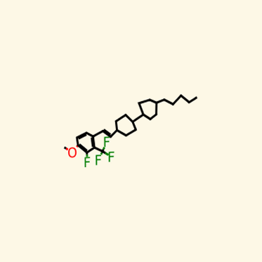 CCCCCC1CCC(C2CCC(/C=C/c3ccc(OC)c(F)c3C(F)(F)F)CC2)CC1